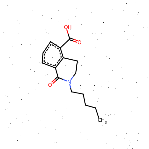 CCCCCN1CCc2c(C(=O)O)cccc2C1=O